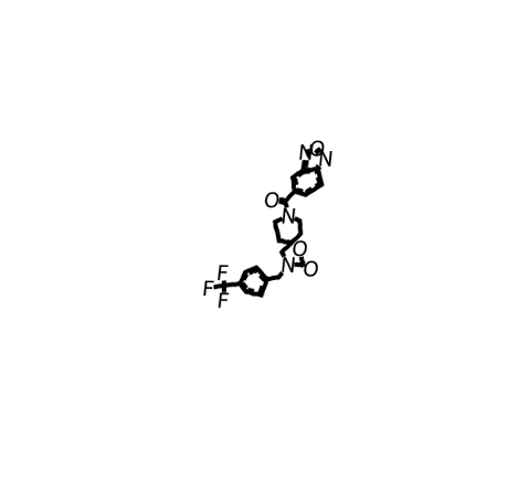 O=C1OC2(CCN(C(=O)c3ccc4nonc4c3)CC2)CN1Cc1ccc(C(F)(F)F)cc1